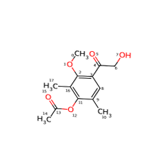 COc1c(C(=O)CO)cc(C)c(OC(C)=O)c1C